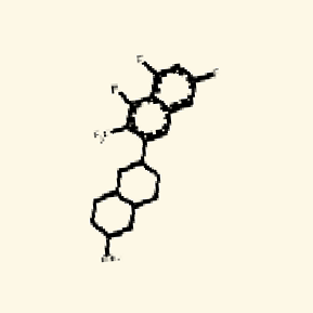 CCCCC1CCC2CC(c3cc4cc(F)cc(F)c4c(F)c3C(F)(F)F)CCC2C1